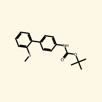 CSc1ccccc1-c1ccc(NC(=O)OC(C)(C)C)cc1